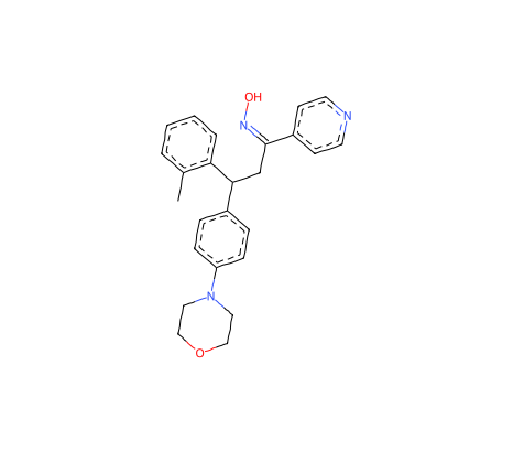 Cc1ccccc1C(C/C(=N/O)c1ccncc1)c1ccc(N2CCOCC2)cc1